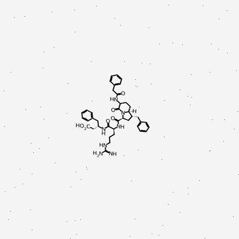 N=C(N)NCCC[C@H](NC(=O)[C@@H]1C[C@@H](Cc2ccccc2)[C@@H]2CCC(NC(=O)Cc3ccccc3)C(=O)N12)C(=O)N[C@H](CC(=O)O)Cc1ccccc1